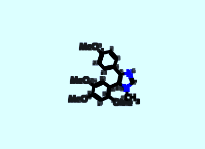 COc1ccc(-c2ncn(C)c2-c2cc(OC)c(OC)cc2OC)cc1